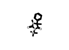 CN1C(=O)N([Si](C)(C)C)C(=O)C1(C)c1ccccc1